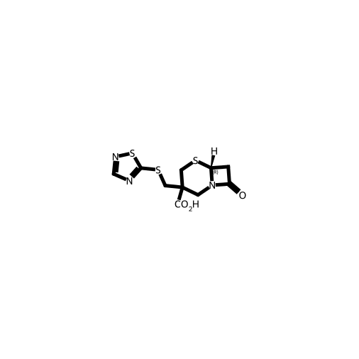 O=C1C[C@H]2SCC(CSc3ncns3)(C(=O)O)CN12